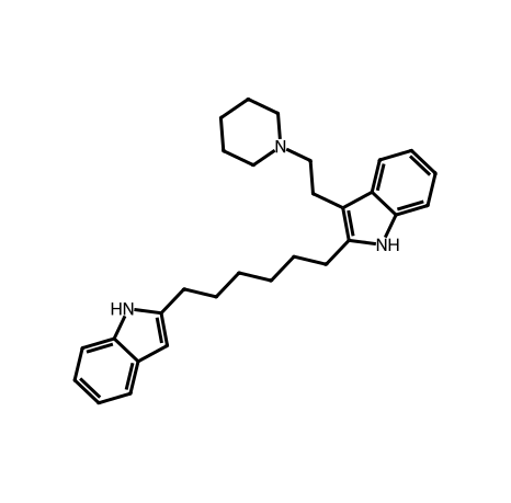 c1ccc2[nH]c(CCCCCCc3[nH]c4ccccc4c3CCN3CCCCC3)cc2c1